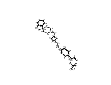 C=C[C@@H](CC(=O)O)c1ccc(OCc2ccc(CN3CCC4(CCc5ccccc54)CC3)s2)cc1